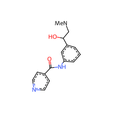 CNCC(O)c1cccc(NC(=O)c2ccncc2)c1